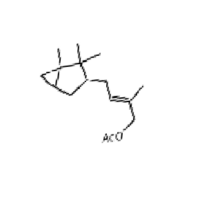 CC(=O)OC/C(C)=C/CC1CC2CC2(C)C1(C)C